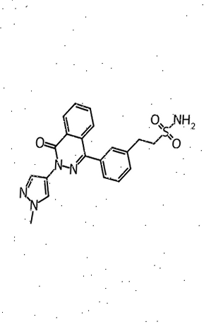 Cn1cc(-n2nc(-c3cccc(CCS(N)(=O)=O)c3)c3ccccc3c2=O)cn1